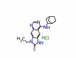 CCn1c(=S)[nH]c2cc3c(NC4CC5CCC4C5)ncnc3cc21.Cl